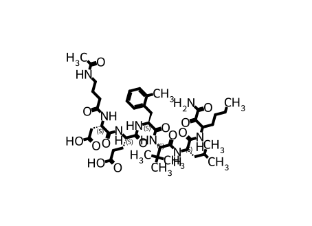 CCCCC(NC(=O)[C@H](CC(C)C)NC(=O)[C@@H](NC(=O)[C@H](Cc1ccccc1C)NC(=O)[C@H](CCC(=O)O)NC(=O)[C@H](CC(=O)O)NC(=O)CCCNC(C)=O)C(C)(C)C)C(=O)C(N)=O